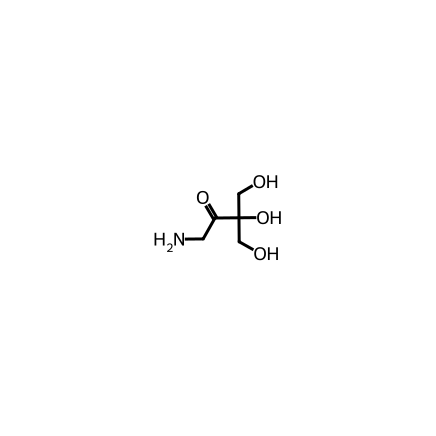 NCC(=O)C(O)(CO)CO